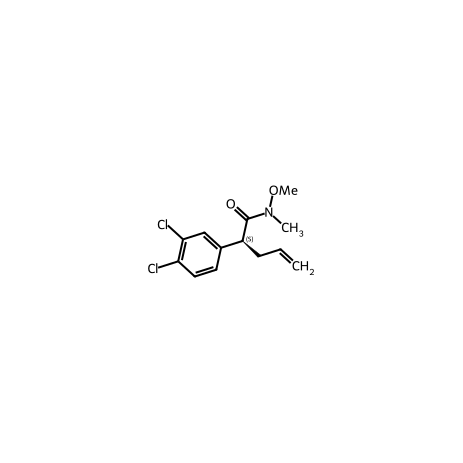 C=CC[C@H](C(=O)N(C)OC)c1ccc(Cl)c(Cl)c1